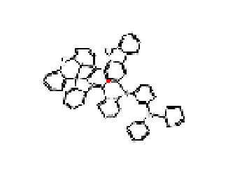 c1ccc(N(c2ccccc2)c2cccc(N(c3ccc4oc5ccccc5c4c3)c3ccccc3-c3cccc4c3-c3ccccc3C43c4ccccc4Sc4ccccc43)c2)cc1